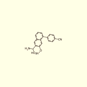 CC(C)Oc1cc2c(-c3ccc(C#N)cc3)cccc2cc1C(N)O